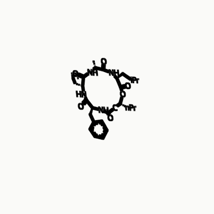 CCC[C@@H]1CC(=O)N[C@@H](Cc2ccccc2)C(=O)N[C@H](CC(C)C)C(=O)N[C@H](C)C(=O)N[C@@H](CC(C)C)C(=O)O1